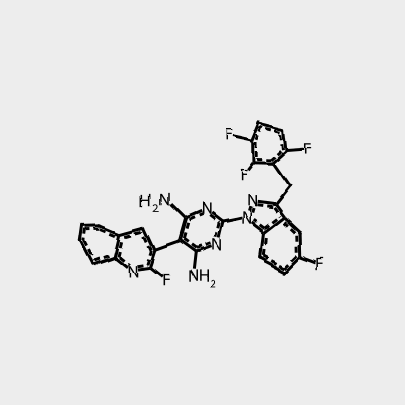 Nc1nc(-n2nc(Cc3c(F)ccc(F)c3F)c3cc(F)ccc32)nc(N)c1-c1cc2ccccc2nc1F